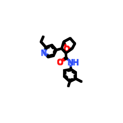 CCc1cc(C2C3CCC(O3)C2C(=O)Nc2ccc(C)c(C)c2)ccn1